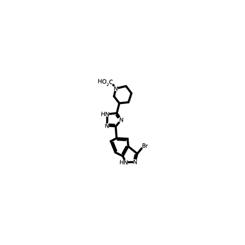 O=C(O)N1CCCC(c2nc(-c3ccc4[nH]nc(Br)c4c3)n[nH]2)C1